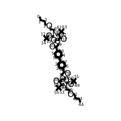 CCCCOCCN(C(=O)OC(C)(C)C)[C@H](C(=O)OCC(=O)c1ccc(-c2ccc(C(=O)COC(=O)[C@@H](N(CCOCCCC)C(=O)OC(C)(C)C)C(C)(C)C)cc2)cc1)C(C)(C)C